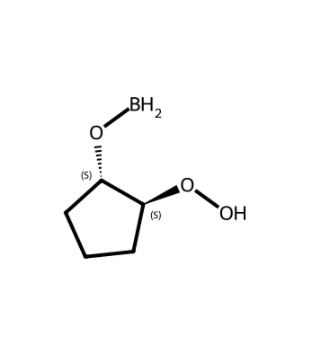 BO[C@H]1CCC[C@@H]1OO